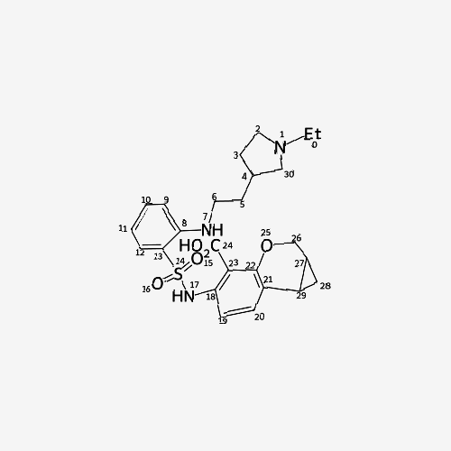 CCN1CCC(CCNc2ccccc2S(=O)(=O)Nc2ccc3c(c2C(=O)O)OCC2CC32)C1